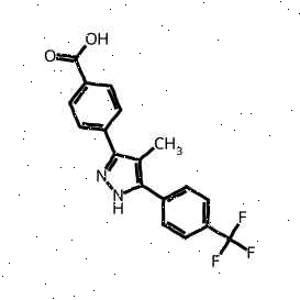 Cc1c(-c2ccc(C(=O)O)cc2)n[nH]c1-c1ccc(C(F)(F)F)cc1